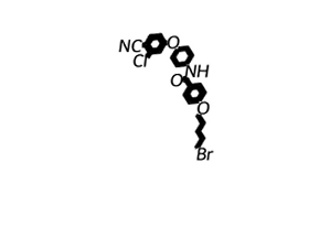 N#Cc1ccc(OC2CCC(NC(=O)c3ccc(OCCCCCBr)cc3)CC2)cc1Cl